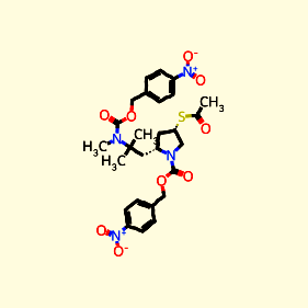 CC(=O)S[C@H]1C[C@@H](CC(C)(C)N(C)C(=O)OCc2ccc([N+](=O)[O-])cc2)N(C(=O)OCc2ccc([N+](=O)[O-])cc2)C1